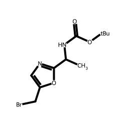 CC(NC(=O)OC(C)(C)C)c1ncc(CBr)o1